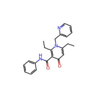 CCc1cc(=O)c(C(=O)Nc2ccccc2)c(CC)n1Cc1ccccn1